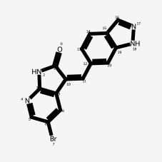 O=C1Nc2ncc(Br)cc2C1=Cc1ccc2cn[nH]c2c1